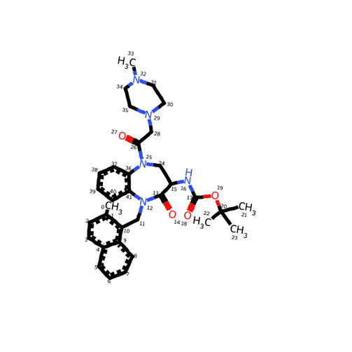 Cc1ccc2ccccc2c1CN1C(=O)C(NC(=O)OC(C)(C)C)CN(C(=O)CN2CCN(C)CC2)c2ccccc21